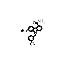 CCCCc1c[c]c2c3c(C(N)=O)cccc3n(Cc3cccc(C#N)c3)c2c1